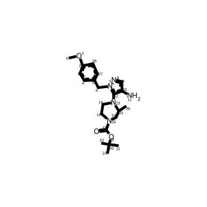 COc1ccc(Cn2ncc(N)c2N2CCN(C(=O)OC(C)(C)C)CC2C)cc1